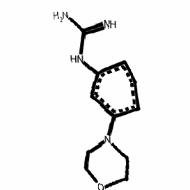 N=C(N)Nc1cccc(N2CCOCC2)c1